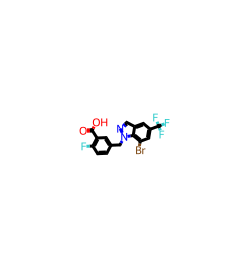 O=C(O)c1cc(Cn2ncc3cc(C(F)(F)F)cc(Br)c32)ccc1F